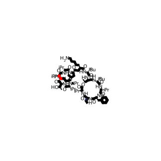 C/C=C1\NC(=O)[C@H](Cc2ccccc2)NC(=O)[C@@H](C(C)C)NC(=O)[C@@H]([C@@H](C)CC)NC(=O)[C@H](NC(=O)[C@H](NC(=O)[C@H](CCCCCN)CC(=O)[C@H]2CCCN2C(=O)[C@H](NC(=O)[C@@H](NC(=O)[C@@H](NC(=O)[C@@H](C(C)C)N(C(=O)CCCC(C)C)C(C)C)[C@@H](C)O)C(C)C)C(C)C)[C@@H](C)CC)[C@H](C)OC(=O)[C@H](C(C)C)NC1=O